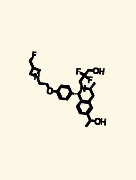 CC(O)c1ccc2c(c1)C[C@H](C)N(CC(F)(F)CO)[C@H]2c1ccc(OCCN2CC(CF)C2)cc1